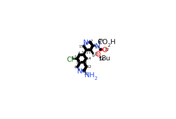 Cc1c(-c2cc(Cl)c3cnc(N)cc3c2)cncc1N(C(=O)O)C(=O)OC(C)(C)C